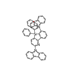 c1ccc([Si]2(c3ccccc3)c3ccc(-n4c5ccccc5c5ccccc54)nc3-c3cccc(-n4c5ccccc5c5ccccc54)c32)cc1